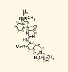 COc1cc2c(cc1Nc1ncc(Cl)c(Nc3ccccc3S(=O)(=O)N(C)C)n1)CCN(CC(C)(C)O)CC2